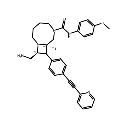 COc1ccc(NC(=O)N2CCCCN3[C@H](CN)C(c4ccc(C#Cc5ccccn5)cc4)[C@@H]3C2)cc1